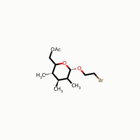 CC(=O)OCC1O[C@H](OCCBr)C(C)[C@@H](C)[C@@H]1C